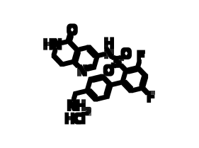 Cl.NCc1ccc(-c2cc(F)cc(F)c2S(=O)(=O)Nc2cnc3c(c2)C(=O)NCC3)cc1